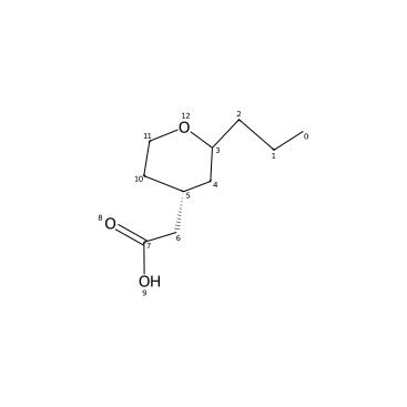 CCCC1C[C@H](CC(=O)O)CCO1